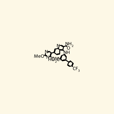 COc1ncc(-c2ccc3c(Nc4cc(C(=O)O)cc(-c5ccc(C(F)(F)F)cc5)c4)c(C(N)=O)cnc3c2)c(OC)n1